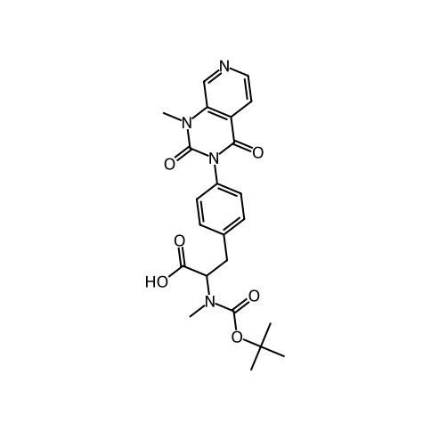 CN(C(=O)OC(C)(C)C)C(Cc1ccc(-n2c(=O)c3ccncc3n(C)c2=O)cc1)C(=O)O